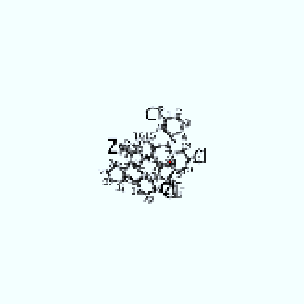 Clc1cccc(C(c2cccc(Cl)c2)=c2ccc3c(c2C2=CC=CC2)-c2c(c4ccccc4c4ccccc24)[C]=3[Zr+2])c1.[Cl-].[Cl-]